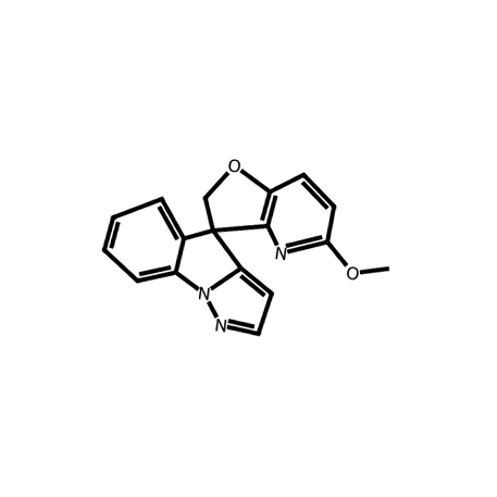 COc1ccc2c(n1)C1(CO2)c2ccccc2-n2nccc21